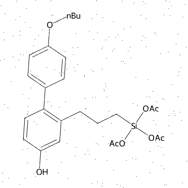 CCCCOc1ccc(-c2ccc(O)cc2CCC[Si](OC(C)=O)(OC(C)=O)OC(C)=O)cc1